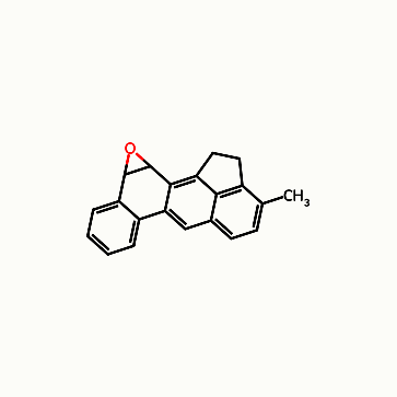 Cc1ccc2cc3c(c4c2c1CC4)C1OC1c1ccccc1-3